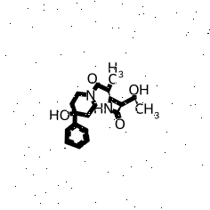 CC(C(=O)N1CCC(O)(c2ccccc2)CC1)[C@H]1NC(=O)[C@@H]1[C@@H](C)O